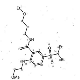 CCOCCCNC(=O)c1cc(S(=O)(=O)N(CC)CC)ccc1NCCOC